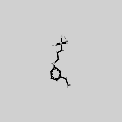 NCc1[c]ccc(OCCCS(N)(=O)=O)c1